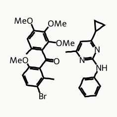 COc1cc(C)c(C(=O)c2c(OC)ccc(Br)c2C)c(OC)c1OC.Cc1cc(C2CC2)nc(Nc2ccccc2)n1